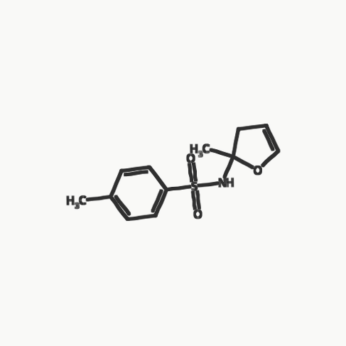 Cc1ccc(S(=O)(=O)NC2(C)CC=CO2)cc1